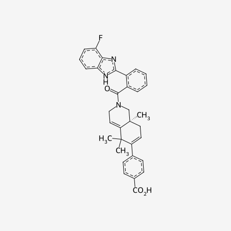 CC1(C)C(c2ccc(C(=O)O)cc2)=CC[C@]2(C)CN(C(=O)c3ccccc3-c3nc4c(F)cccc4[nH]3)CC=C12